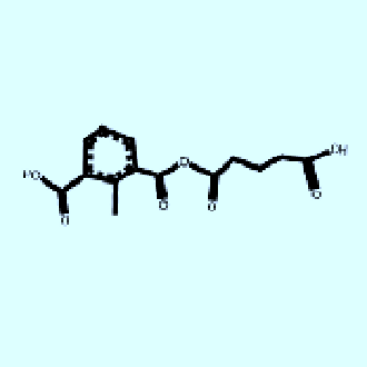 Cc1c(C(=O)O)cccc1C(=O)OC(=O)CCCC(=O)O